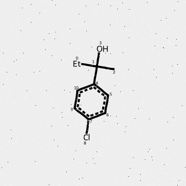 [CH2]CC(C)(O)c1ccc(Cl)cc1